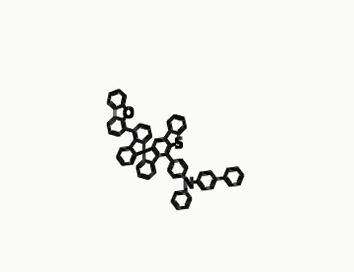 c1ccc(-c2ccc(N(c3ccccc3)c3ccc(-c4c5c(cc6c4sc4ccccc46)C4(c6ccccc6-c6c(-c7cccc8c7oc7ccccc78)cccc64)c4ccccc4-5)cc3)cc2)cc1